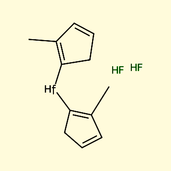 CC1=[C]([Hf][C]2=C(C)C=CC2)CC=C1.F.F